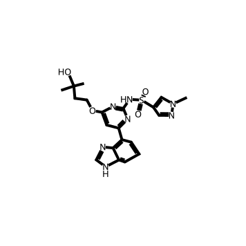 Cn1cc(S(=O)(=O)Nc2nc(OCCC(C)(C)O)cc(-c3cccc4[nH]cnc34)n2)cn1